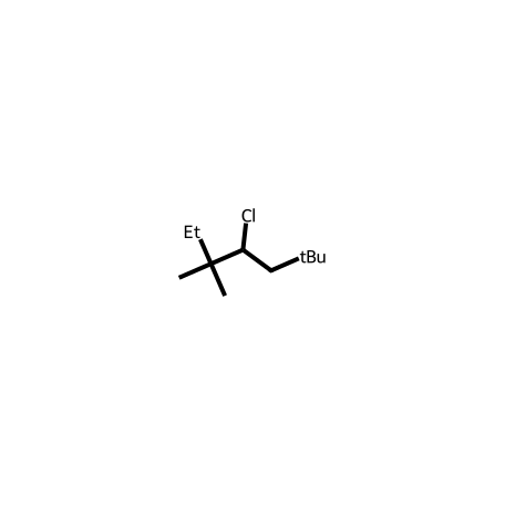 CCC(C)(C)C(Cl)CC(C)(C)C